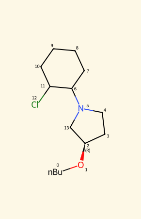 CCCCO[C@@H]1CCN(C2CCCCC2Cl)C1